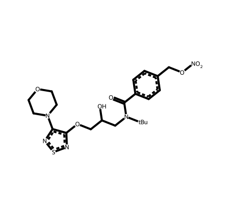 CC(C)(C)N(CC(O)COc1nsnc1N1CCOCC1)C(=O)c1ccc(CO[N+](=O)[O-])cc1